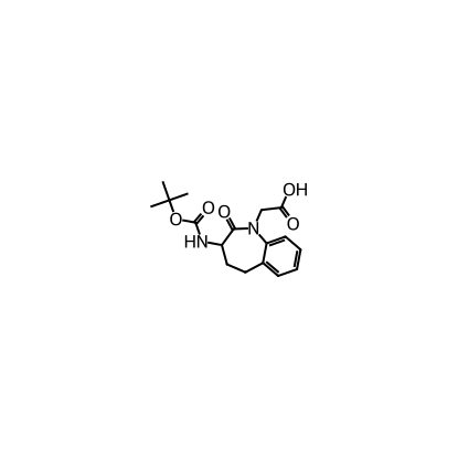 CC(C)(C)OC(=O)NC1CCc2ccccc2N(CC(=O)O)C1=O